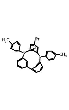 Cc1ccc(N2c3cccc(c3)-c3cccc(c3)N(c3ccc(C)cc3)c3cc(C(C)C)cc2c3Cl)cc1